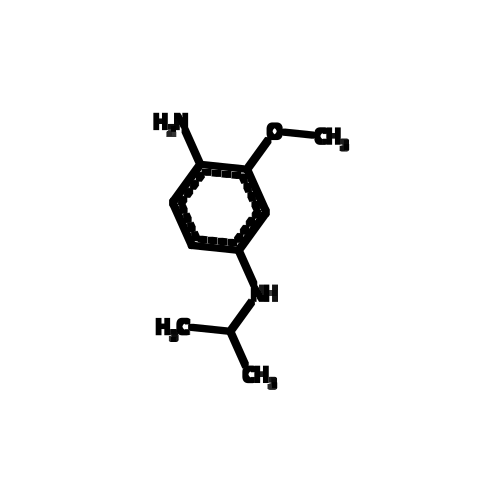 COc1cc(NC(C)C)ccc1N